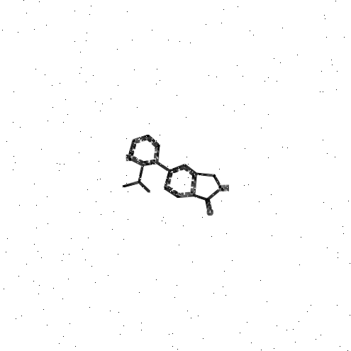 CC(C)c1ncccc1-c1ccc2c(c1)CNC2=O